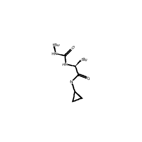 CC(C)(C)NC(=O)N[C@H](C(=O)[N]C1CC1)C(C)(C)C